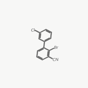 N#Cc1cccc(-c2cccc(Cl)c2)c1Br